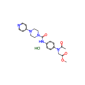 COC(=O)CN(C(C)=O)c1ccc(NC(=O)N2CCN(c3ccncc3)CC2)cc1.Cl